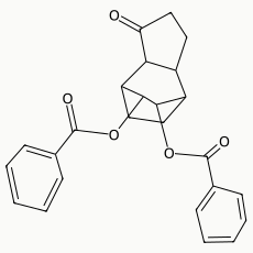 O=C(OC1C2CCC(C1OC(=O)c1ccccc1)C1C(=O)CCC21)c1ccccc1